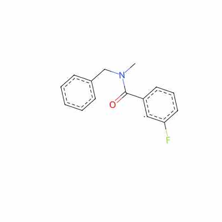 CN(Cc1ccccc1)C(=O)c1[c]c(F)ccc1